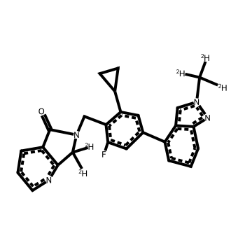 [2H]C1([2H])c2ncccc2C(=O)N1Cc1c(F)cc(-c2cccc3nn(C([2H])([2H])[2H])cc23)cc1C1CC1